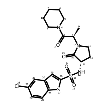 C[C@H](C(=O)N1CCCCC1)N1CC[C@H](NS(=O)(=O)c2cc3cc(Cl)ccc3s2)C1=O